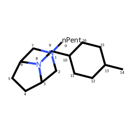 CCCCCN1CC2CCC(C1)N2CC1CCC(C)CC1